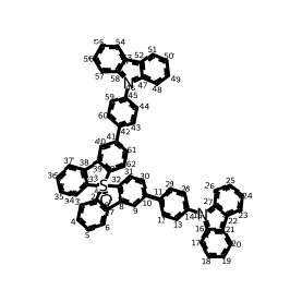 O=S12(c3ccccc3-c3cc(-c4ccc(-n5c6ccccc6c6ccccc65)cc4)ccc31)c1ccccc1-c1cc(-c3ccc(-n4c5ccccc5c5ccccc54)cc3)ccc12